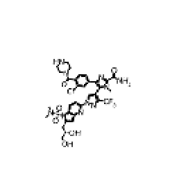 CN(C)S(=O)(=O)n1c(C[C@H](O)CO)cc2nc(-n3cc(-c4c(-c5ccc(C(=O)N6CCNCC6)c(Cl)c5)nc(C(N)=O)n4C)c(C(F)(F)F)n3)ccc21